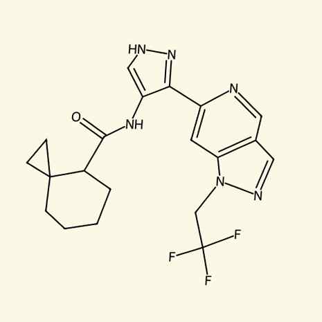 O=C(Nc1c[nH]nc1-c1cc2c(cn1)cnn2CC(F)(F)F)C1CCCCC12CC2